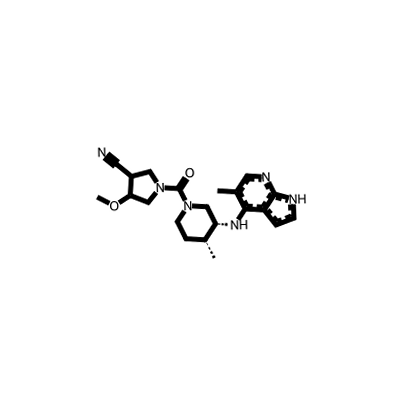 COC1CN(C(=O)N2CC[C@@H](C)[C@@H](Nc3c(C)cnc4[nH]ccc34)C2)CC1C#N